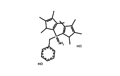 CC1=C(C)C(C)[C]([Ti](=[SiH2])([CH2]c2ccccc2)[C]2=C(C)C(C)=C(C)C2C)=C1C.Cl.Cl